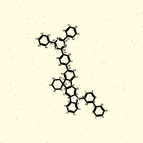 c1ccc(-c2cccc(-n3c4ccccc4c4cc5c(cc43)-c3ccc(-c4ccc(-c6nc(-c7ccccc7)nc(-c7ccccc7)n6)cc4)cc3C53CCCCC3)c2)cc1